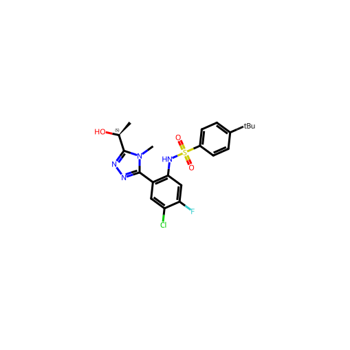 C[C@H](O)c1nnc(-c2cc(Cl)c(F)cc2NS(=O)(=O)c2ccc(C(C)(C)C)cc2)n1C